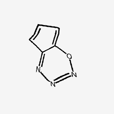 c1cc2nnnoc-2c1